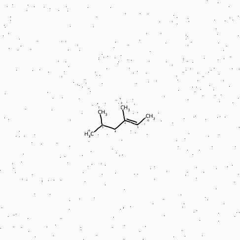 C/C=C(\C)CC(C)C